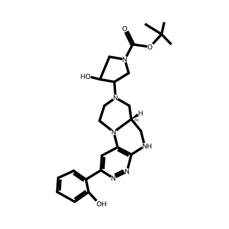 CC(C)(C)OC(=O)N1CC(O)C(N2CCN3c4cc(-c5ccccc5O)nnc4NC[C@H]3C2)C1